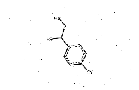 N#Cc1ccc(C(S)CS)cc1